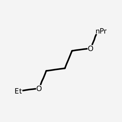 [CH2]CCOCCCOC[CH2]